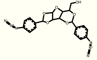 [N-]=[N+]=Nc1ccc(C2OC3OC4C(CO)OC(c5ccc(N=[N+]=[N-])cc5)OC4C3O2)cc1